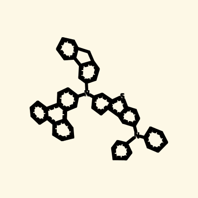 c1ccc(N(c2ccccc2)c2ccc3sc4cc(N(c5ccc6c(c5)-c5ccccc5C6)c5ccc6c7ccccc7c7ccccc7c6c5)ccc4c3c2)cc1